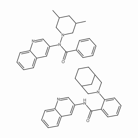 CC1CC(C)CN(N(C(=O)c2ccccc2)c2cnc3ccccc3c2)C1.O=C(Nc1cnc2ccccc2c1)c1ccccc1N1CC2CCCC(C2)C1